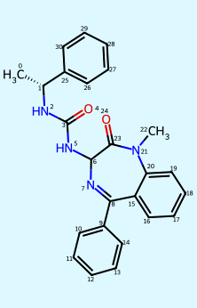 C[C@@H](NC(=O)NC1N=C(c2ccccc2)c2ccccc2N(C)C1=O)c1ccccc1